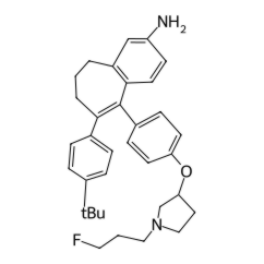 CC(C)(C)c1ccc(C2=C(c3ccc(OC4CCN(CCCF)C4)cc3)c3ccc(N)cc3CCC2)cc1